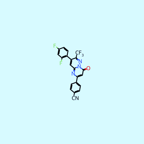 N#Cc1ccc(-c2cc(=O)n3nc(C(F)(F)F)c(-c4ccc(F)cc4F)cc3n2)cc1